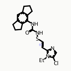 CCn1c(Cl)cnc1/C=C/SNC(=O)Nc1c2c(cc3c1CCC3)CCC2